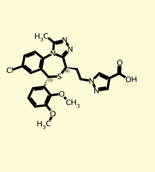 COc1cccc([C@H]2S[C@H](CCn3cc(C(=O)O)cn3)c3nnc(C)n3-c3ccc(Cl)cc32)c1OC